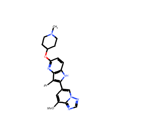 COc1cc(-c2[nH]c3ccc(OC4CCN(C)CC4)nc3c2C(C)C)cn2ncnc12